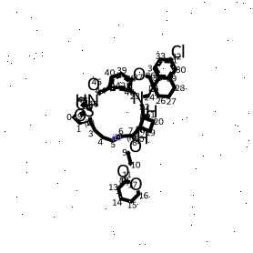 CC[C@@H]1CC/C=C/[C@H](OCCO[C@@H]2CCCCO2)[C@@H]2CC[C@H]2CN2C[C@@]3(CCCc4cc(Cl)ccc43)COc3ccc(cc32)C(=O)NS1(=O)=O